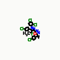 CC(F)c1c(-c2nnc(C3(c4ccc(Cl)cc4)CC3)o2)nn(-c2ccc(Cl)cc2Cl)c1-c1ccc(Cl)cc1